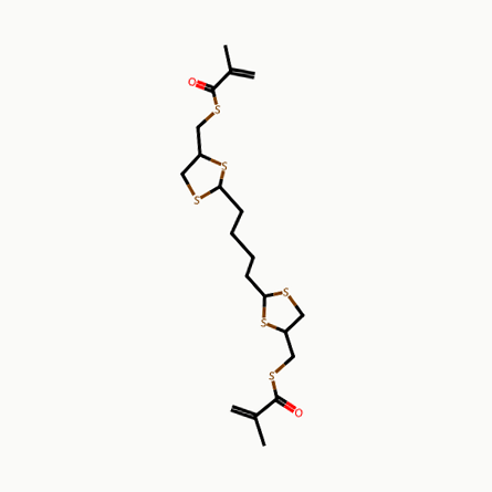 C=C(C)C(=O)SCC1CSC(CCCCC2SCC(CSC(=O)C(=C)C)S2)S1